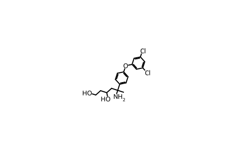 CC(N)(CC(O)CCO)c1ccc(Oc2cc(Cl)cc(Cl)c2)cc1